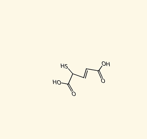 O=C(O)C=CC(S)C(=O)O